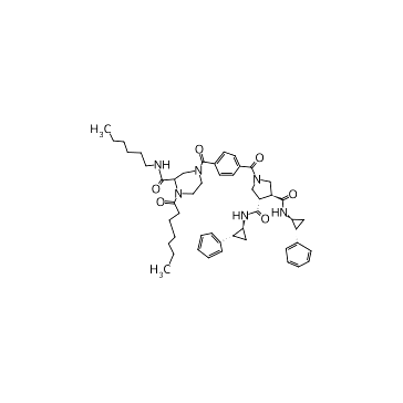 CCCCCCNC(=O)C1CN(C(=O)c2ccc(C(=O)N3C[C@@H](C(=O)N[C@H]4C[C@@H]4c4ccccc4)[C@H](C(=O)N[C@H]4C[C@@H]4c4ccccc4)C3)cc2)CCN1C(=O)CCCCCC